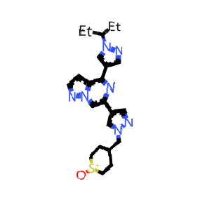 CCC(CC)n1cc(-c2nc(-c3cnn(CC4CC[S+]([O-])CC4)c3)cn3nccc23)cn1